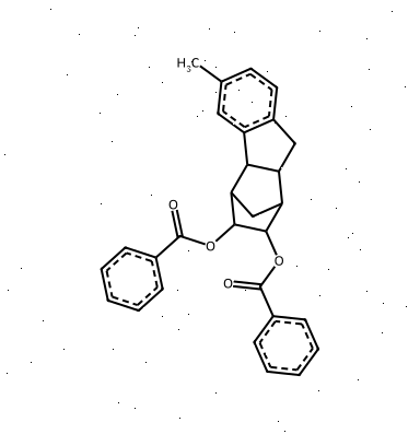 Cc1ccc2c(c1)C1C(C2)C2CC1C(OC(=O)c1ccccc1)C2OC(=O)c1ccccc1